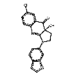 O=C1c2cc(Cl)ccc2N=C2N(c3ccc4ccsc4c3)CCC12O